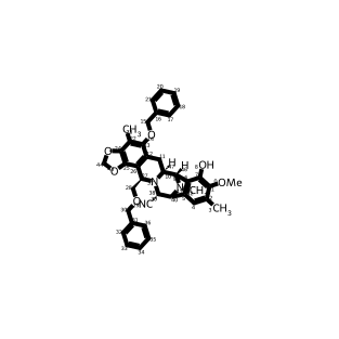 COc1c(C)cc2c(c1O)[C@H]1[C@@H]3Cc4c(OCc5ccccc5)c(C)c5c(c4[C@H](COCc4ccccc4)N3[C@@H](C#N)C2N1C)OCO5